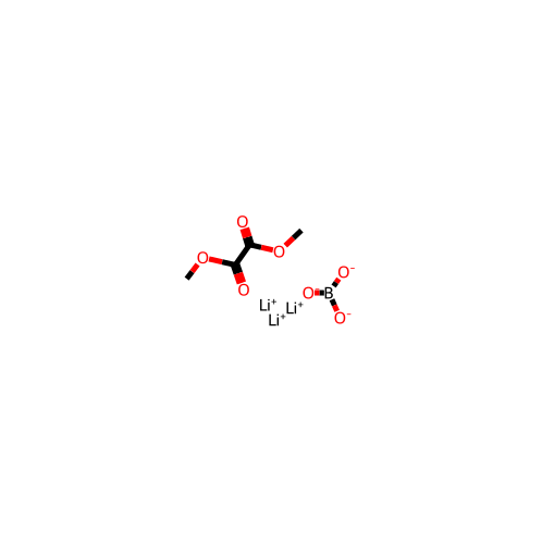 COC(=O)C(=O)OC.[Li+].[Li+].[Li+].[O-]B([O-])[O-]